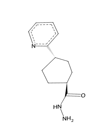 NNC(=O)[C@H]1CC[C@H](c2ccccn2)CC1